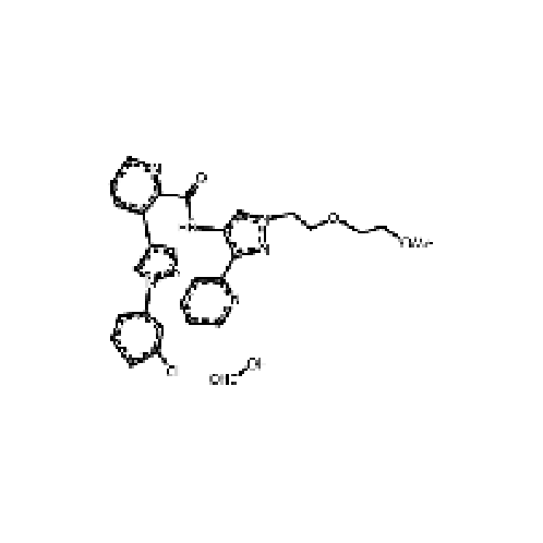 COCCOCCn1cc(NC(=O)c2ncccc2-c2cnn(-c3cccc(Cl)c3)c2)c(-c2ccccn2)n1.O=CO